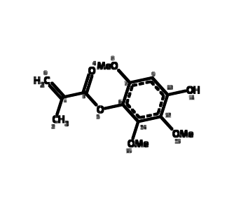 C=C(C)C(=O)Oc1c(OC)cc(O)c(OC)c1OC